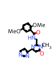 COc1ccc(OC)c(C(=O)NCc2nc(-c3ccncn3)cc(=O)n2C)c1